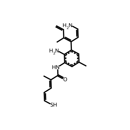 C=C/C(C)=C(\C=C/N)c1cc(C)cc(NC(=O)/C(C)=C/C=C\S)c1N